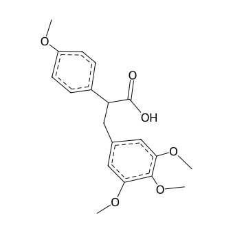 COc1ccc(C(Cc2cc(OC)c(OC)c(OC)c2)C(=O)O)cc1